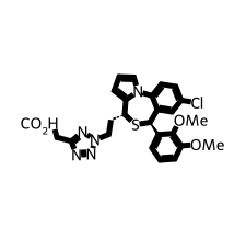 COc1cccc([C@H]2S[C@H](CCn3nnc(CC(=O)O)n3)c3cccn3-c3ccc(Cl)cc32)c1OC